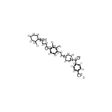 Cc1c(CCN2CCN(C(=O)c3ccc(C(F)(F)F)cc3)CC2)ccc(OCCNC2CCCCC2C)c1C